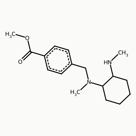 CNC1CCCCC1N(C)Cc1ccc(C(=O)OC)cc1